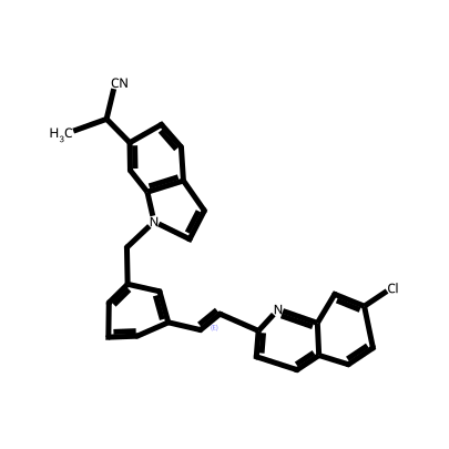 CC(C#N)c1ccc2ccn(Cc3cccc(/C=C/c4ccc5ccc(Cl)cc5n4)c3)c2c1